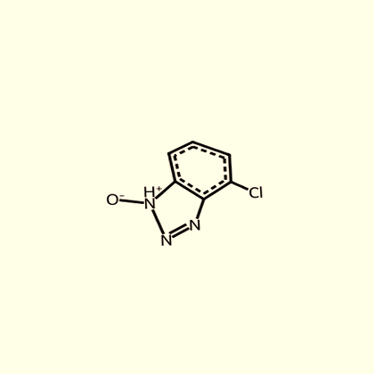 [O-][NH+]1N=Nc2c(Cl)cccc21